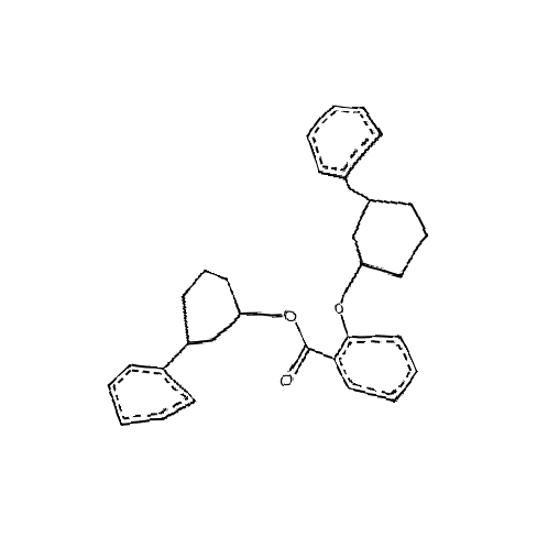 O=C(OC1CCCC(c2ccccc2)C1)c1ccccc1OC1CCCC(c2ccccc2)C1